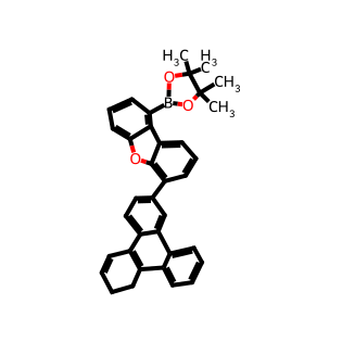 CC1(C)OB(c2cccc3oc4c(-c5ccc6c7c(c8ccccc8c6c5)CCC=C7)cccc4c23)OC1(C)C